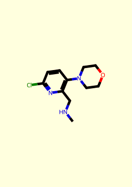 CNCc1nc(Cl)ccc1N1CCOCC1